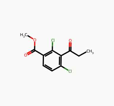 CCC(=O)c1c(Cl)ccc(C(=O)OC)c1Cl